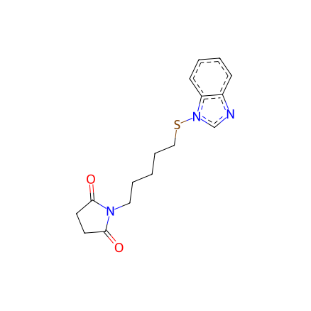 O=C1CCC(=O)N1CCCCCSn1cnc2ccccc21